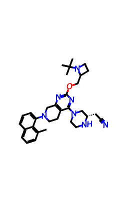 Cc1cccc2cccc(N3CCc4c(nc(OCC5CCN5C(C)(C)C)nc4N4CCN[C@@H](CC#N)C4)C3)c12